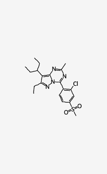 CCc1nn2c(-c3ccc(S(C)(=O)=O)cc3Cl)nc(C)nc2c1C(CC)CC